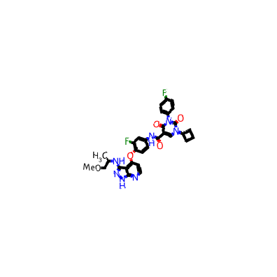 COC[C@@H](C)Nc1n[nH]c2nccc(Oc3ccc(NC(=O)c4cn(C5CCC5)c(=O)n(-c5ccc(F)cc5)c4=O)cc3F)c12